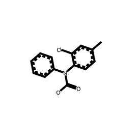 Cc1ccc(N(C([O])=O)c2ccccc2)c(Cl)c1